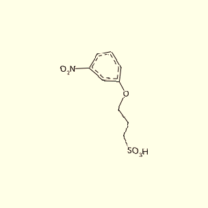 O=[N+]([O-])c1cccc(OCCCS(=O)(=O)O)c1